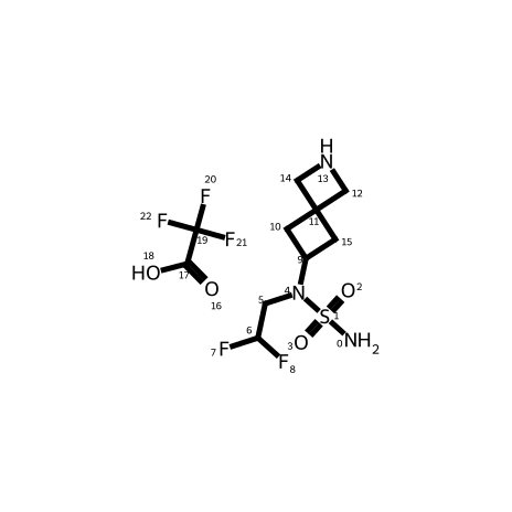 NS(=O)(=O)N(CC(F)F)C1CC2(CNC2)C1.O=C(O)C(F)(F)F